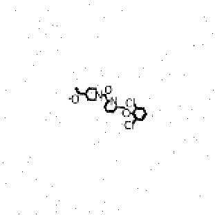 C=C(OC)C1CCN(C(=O)c2cccc(COc3c(Cl)cccc3Cl)n2)CC1